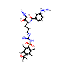 Cc1c(C)c(S(=O)(=O)NC(=N)NCCCC(NC(=O)c2cccc(N=[N+]=[N-])c2)C(=O)C=[N+]=[N-])c(C)c2c1C(C)(C)OC2